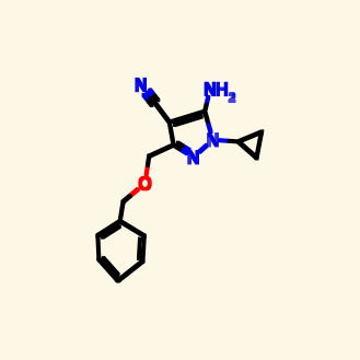 N#Cc1c(COCc2ccccc2)nn(C2CC2)c1N